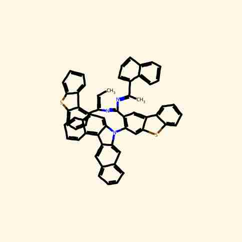 C\C=C(/N=C(\N=C(/C)c1cccc2ccccc12)c1cc2c(cc1-n1c3cc4ccccc4cc3c3c4ccccc4ccc31)sc1ccccc12)c1cccc2sc3ccccc3c12